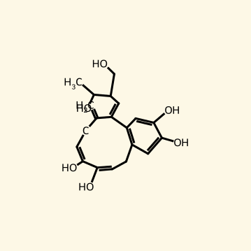 C=C1C/C=C(O)\C(O)=C/Cc2cc(O)c(O)cc2/C1=C/C(CO)C(C)O